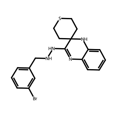 Brc1cccc(CNNC2=Nc3ccccc3NC23CCSCC3)c1